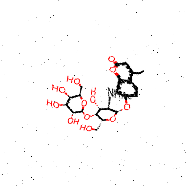 CC(=O)N[C@H]1[C@H](Oc2ccc3c(C)cc(=O)oc3c2)O[C@H](CO)[C@@H](O[C@@H]2O[C@H](CO)[C@H](O)[C@H](O)[C@H]2O)[C@@H]1O